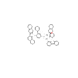 c1ccc(-n2c3ccccc3c3cccc(-c4nc(-c5ccc6ccccc6c5)nc(-c5ccc(-n6c7cc8ccccc8cc7c7ccc8ccccc8c76)c6c5oc5ccccc56)n4)c32)cc1